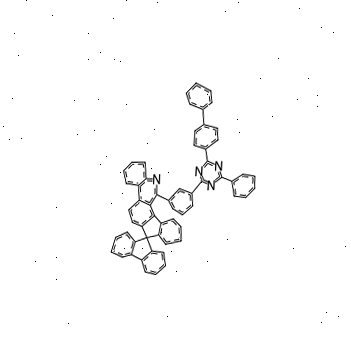 c1ccc(-c2ccc(-c3nc(-c4ccccc4)nc(-c4cccc(-c5nc6ccccc6c6ccc7c(c56)-c5ccccc5C75c6ccccc6-c6ccccc65)c4)n3)cc2)cc1